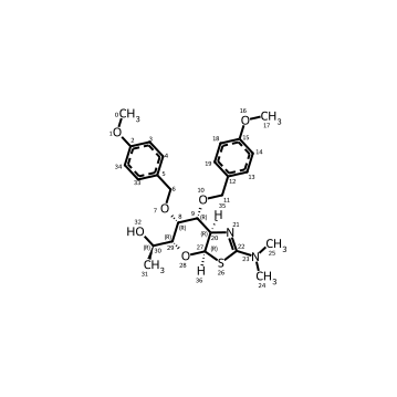 COc1ccc(CO[C@@H]2[C@H](OCc3ccc(OC)cc3)[C@H]3N=C(N(C)C)S[C@H]3O[C@@H]2[C@@H](C)O)cc1